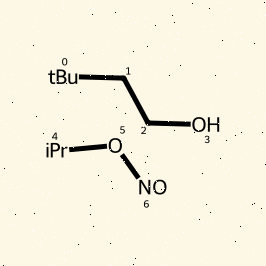 CC(C)(C)CCO.CC(C)ON=O